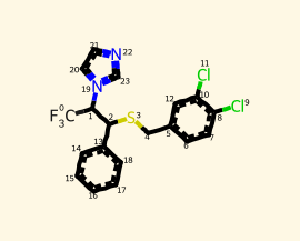 FC(F)(F)C(C(SCc1ccc(Cl)c(Cl)c1)c1ccccc1)n1ccnc1